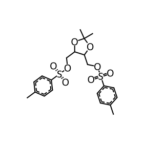 Cc1ccc(S(=O)(=O)OCC2OC(C)(C)OC2COS(=O)(=O)c2ccc(C)cc2)cc1